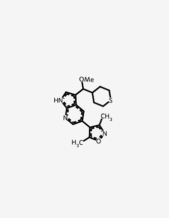 COC(c1c[nH]c2ncc(-c3c(C)noc3C)cc12)C1CCSCC1